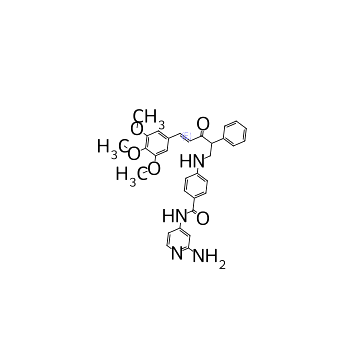 COc1cc(/C=C/C(=O)C(CNc2ccc(C(=O)Nc3ccnc(N)c3)cc2)c2ccccc2)cc(OC)c1OC